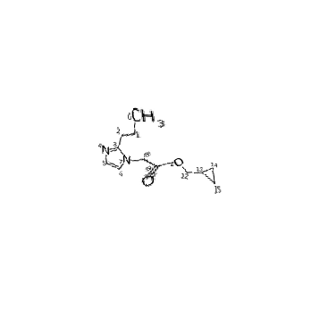 CCCc1nccn1CC(=O)OCC1CC1